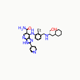 CCc1c(CN[C@H](CO)CC2CCCCC2)cccc1Nc1c(C(N)=O)cnc2[nH]c(-c3ccncc3)nc12